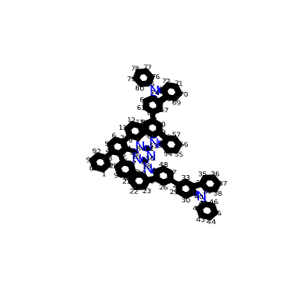 c1ccc(-c2ccc(-c3ccccc3)c(-c3nc(-n4c5ccccc5c5cc(-c6ccc7c(c6)c6ccccc6n7-c6ccccc6)ccc54)nc(-n4c5ccccc5c5cc(-c6ccc7c(c6)c6ccccc6n7-c6ccccc6)ccc54)n3)c2-c2ccccc2)cc1